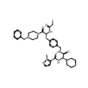 CCC(=O)NC(Cc1ccc(CNC(=O)C(NC(=O)c2ccnn2C)C2CCCCC2)cc1)C(=O)N1CCN(Cc2ccccc2)CC1